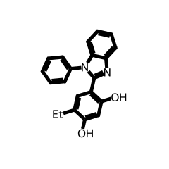 CCc1cc(-c2nc3ccccc3n2-c2ccccc2)c(O)cc1O